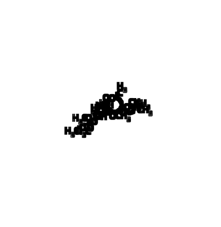 CCOC[C@H](OC)C(OC)O[C@@H]1C[C@H]2[C@@H]3C[C@@H]3[C@@H]3[C@@H](C=C4C(=O)[C@H](C)[C@@H](O[C@H]5CC[C@H](N(C)C)C(C)O5)CCC[C@H](CC)OC(=O)C[C@H]43)[C@@H]2C1